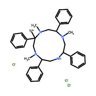 CN1CC(c2ccccc2)NCC(c2ccccc2)N(C)C[C]([Ti+3])(c2ccccc2)N(C)CC1c1ccccc1.[Cl-].[Cl-].[Cl-]